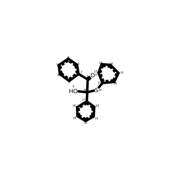 O=C(c1ccccc1)C(O)(Sc1ccccc1)c1ccccc1